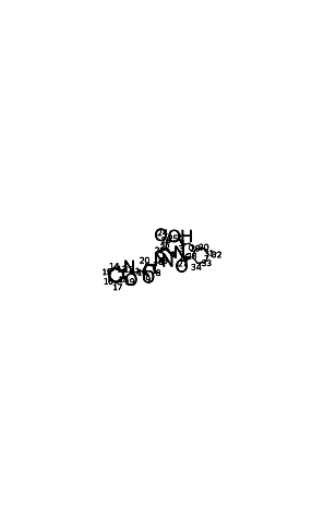 CC(C)N(c1nn(-c2coc(-c3nc4ccccc4o3)c2)cc1C(=O)O)C(=O)[C@H]1CC[C@H](C)CC1